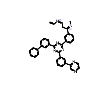 C=C/N=C\C/C(=N\C)c1cccc(-c2nc(-c3cccc(-c4ccccc4)c3)nc(-c3cccc(-c4cnccn4)c3)n2)c1